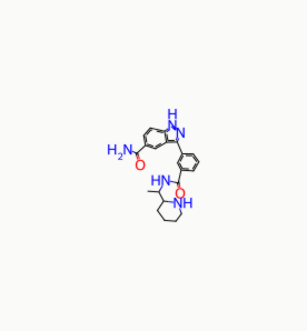 CC(NC(=O)c1cccc(-c2n[nH]c3ccc(C(N)=O)cc23)c1)C1CCCCN1